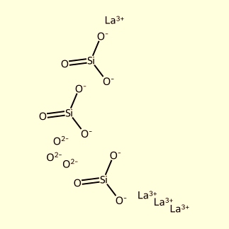 O=[Si]([O-])[O-].O=[Si]([O-])[O-].O=[Si]([O-])[O-].[La+3].[La+3].[La+3].[La+3].[O-2].[O-2].[O-2]